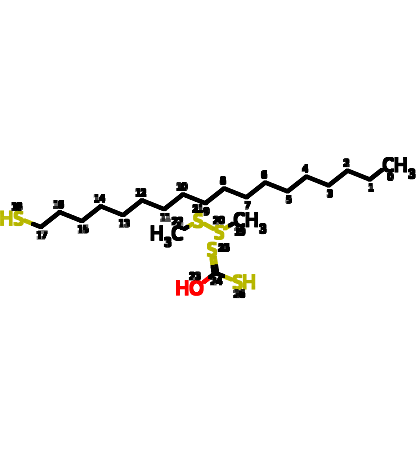 CCCCCCCCCCCCCCCCCCS.CSSC.OC(=S)S